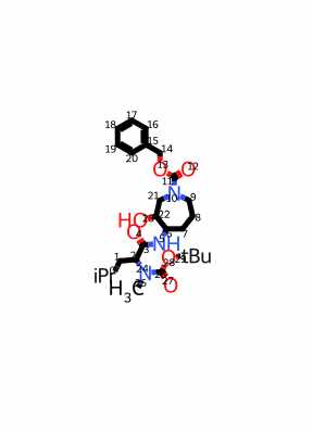 CC(C)CC(C(=O)NC1CCCN(C(=O)OCc2ccccc2)CC1O)N(C)C(=O)OC(C)(C)C